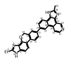 CCc1nc2c3c(ccc2[nH]1)-c1ccc(-c2ccc4c(c2)c2ccncc2c2nc(C)[nH]c42)cc1CO3